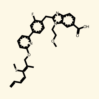 C=C/C=C\C(SC)=C(/C)COc1cccc(-c2ccc(Cc3nc4ccc(C(=O)O)cc4n3CCOC)c(F)c2)n1